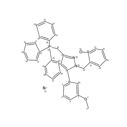 COc1cccc(-c2cc(C[P+](c3ccccc3)(c3ccccc3)c3ccccc3)nn2Cc2ccccc2Cl)c1.[Br-]